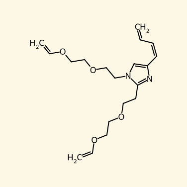 C=C/C=C\c1cn(CCOCCOC=C)c(CCOCCOC=C)n1